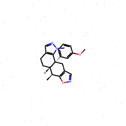 COc1cccc([C@]23Cc4cnoc4[C@@H](C)[C@@H]2CCc2cnn(C)c23)c1